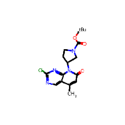 Cc1cc(=O)n(C2CCN(C(=O)OC(C)(C)C)C2)c2nc(Cl)ncc12